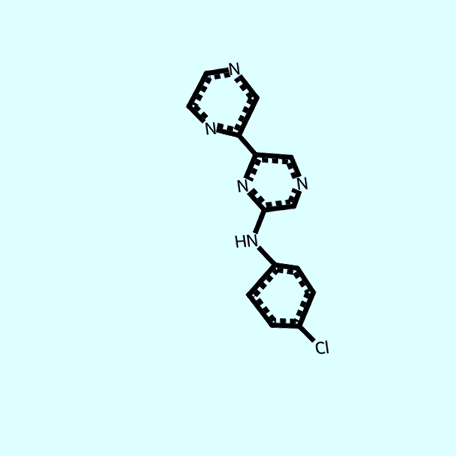 Clc1ccc(Nc2cncc(-c3cnccn3)n2)cc1